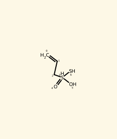 C=CC[SH](=O)(O)S